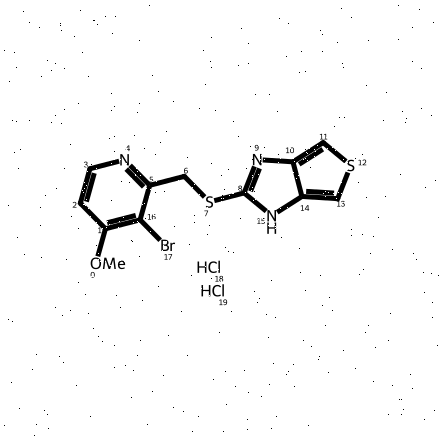 COc1ccnc(CSc2nc3cscc3[nH]2)c1Br.Cl.Cl